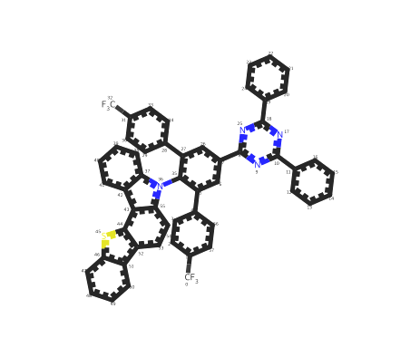 FC(F)(F)c1ccc(-c2cc(-c3nc(-c4ccccc4)nc(-c4ccccc4)n3)cc(-c3ccc(C(F)(F)F)cc3)c2-n2c3ccccc3c3c4sc5ccccc5c4ccc32)cc1